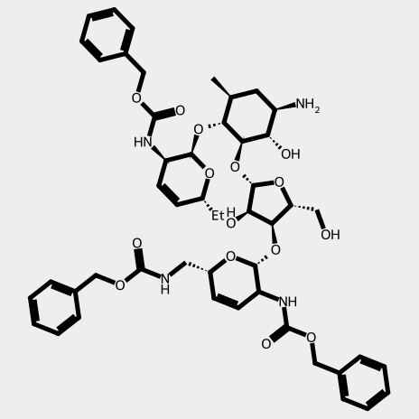 CC[C@@H]1C=C[C@@H](NC(=O)OCc2ccccc2)[C@@H](O[C@H]2[C@H](O[C@@H]3O[C@H](CO)[C@@H](O[C@H]4O[C@@H](CNC(=O)OCc5ccccc5)C=CC4NC(=O)OCc4ccccc4)[C@H]3O)[C@@H](O)[C@H](N)C[C@@H]2C)O1